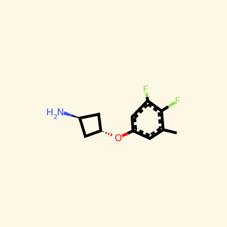 Cc1cc(O[C@H]2C[C@H](N)C2)cc(F)c1F